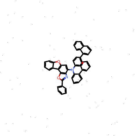 c1ccc(-c2nc3c(N(c4ccc(-c5cccc6ccccc56)cc4)c4ccccc4-c4ccccc4)cc4oc5ccccc5c4c3o2)cc1